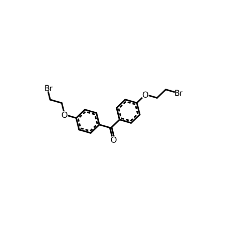 O=C(c1ccc(OCCBr)cc1)c1ccc(OCCBr)cc1